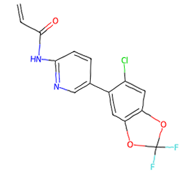 C=CC(=O)Nc1ccc(-c2cc3c(cc2Cl)OC(F)(F)O3)cn1